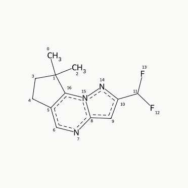 CC1(C)CCc2cnc3cc(C(F)F)nn3c21